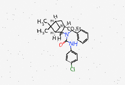 CCOC(=O)[C@@H]1C[C@H]2C[C@@H]([C@H]1N(Cc1ccccc1)C(=O)Nc1ccc(Cl)cc1)C2(C)C